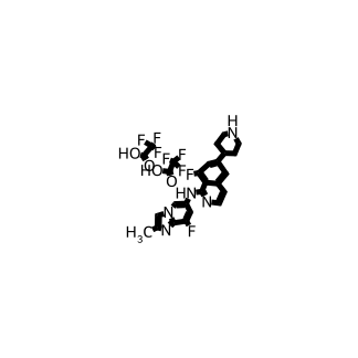 Cc1cn2cc(Nc3nccc4cc(C5CCNCC5)cc(F)c34)cc(F)c2n1.O=C(O)C(F)(F)F.O=C(O)C(F)(F)F